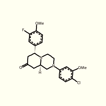 COc1ccc([C@H]2CC(=O)C[C@@H]3CN(c4ccc(Cl)c(OC)c4)CCN32)cc1F